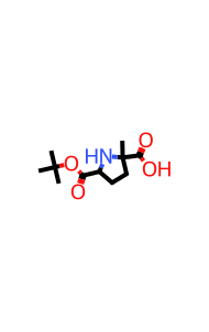 CC(C)(C)OC(=O)C1CCC(C)(C(=O)O)N1